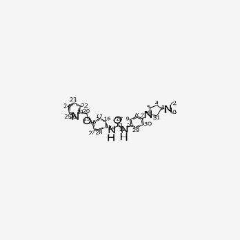 CN(C)C1CCN(c2ccc(NC(=O)Nc3ccc(OCc4ccccn4)cc3)cc2)C1